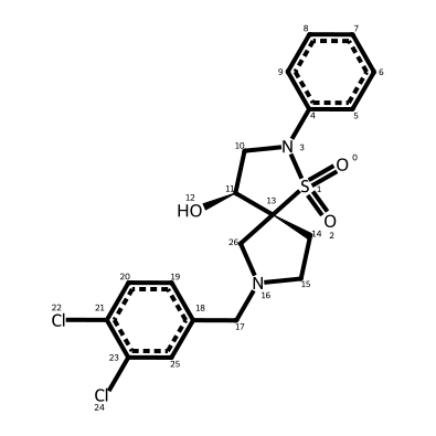 O=S1(=O)N(c2ccccc2)C[C@H](O)[C@]12CCN(Cc1ccc(Cl)c(Cl)c1)C2